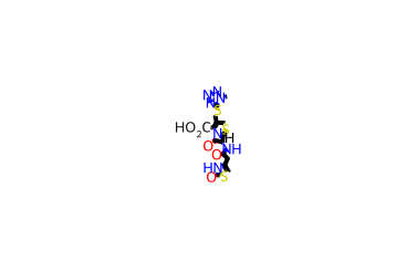 Cn1nnnc1SCC1=C(C(=O)O)N2C(=O)C(NC(=O)Cc3csc(=O)[nH]3)[C@@H]2SC1